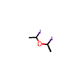 CC(I)OC(C)I